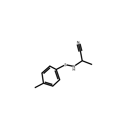 Cc1ccc(SNC(C)C#N)cc1